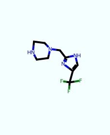 FC(F)(F)c1c[nH]c(CN2CCNCC2)n1